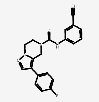 C#Cc1cccc(NC(=O)N2CCn3ncc(-c4ccc(F)cc4)c3C2)c1